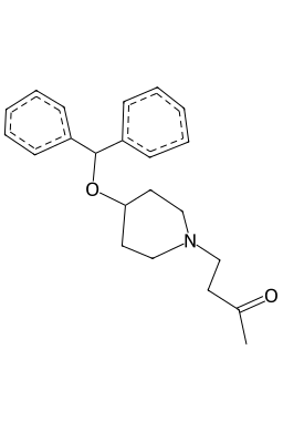 CC(=O)CCN1CCC(OC(c2ccccc2)c2ccccc2)CC1